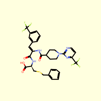 O=C(N[C@@H](CSCc1ccccc1)C(=O)O)C(=Cc1cccc(C(F)(F)F)c1)NC(=O)C1CCN(c2nccc(C(F)(F)F)n2)CC1